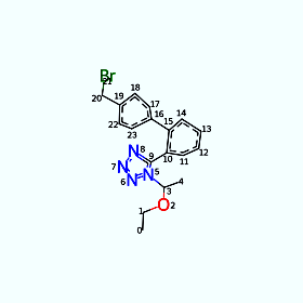 CCOC(C)n1nnnc1-c1ccccc1-c1ccc(CBr)cc1